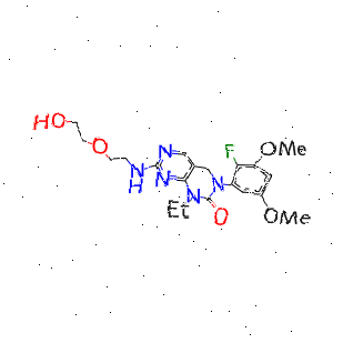 CCN1C(=O)N(c2cc(OC)cc(OC)c2F)Cc2cnc(NCCOCCO)nc21